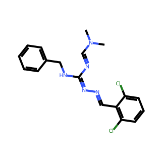 CN(C)C=NC(=NN=Cc1c(Cl)cccc1Cl)NCc1ccccc1